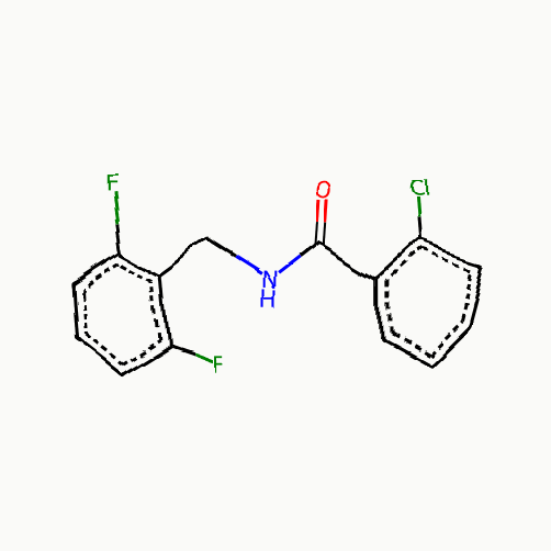 O=C(NCc1c(F)cccc1F)c1ccccc1Cl